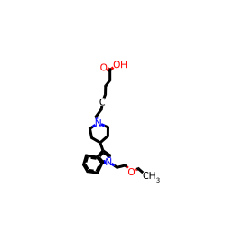 CCOCCn1cc(C2CCN(CCCCCCC(=O)O)CC2)c2ccccc21